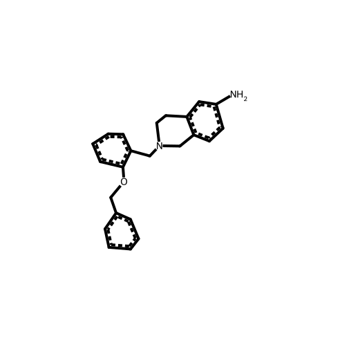 Nc1ccc2c(c1)CCN(Cc1ccccc1OCc1ccccc1)C2